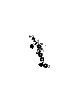 O=[N+]([O-])c1cc(S(=O)(=O)Nc2ncnc3cc(N4CCN(Cc5ccccc5-c5ccc(Cl)cc5)CC4)ccc23)ccc1N[C@H](CCN1CC(O)C1)CSc1ccccc1